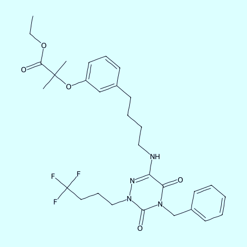 CCOC(=O)C(C)(C)Oc1cccc(CCCCNc2nn(CCCC(F)(F)F)c(=O)n(Cc3ccccc3)c2=O)c1